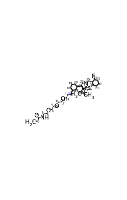 C=CC(=O)NCCOCCOCCOC/C=C/c1cccc([C@H]2CN(Cc3c(C)cccc3F)C[C@@H]2N(C)C)c1